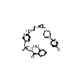 CC(C)(CNC(=O)c1ccccc1O)Cc1ccc(NCC[C@@H]2C[C@@H]2C2CCN(c3ncc(Cl)cn3)CC2)nc1